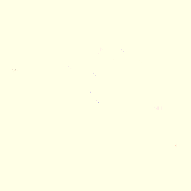 COc1c(C)cnc(CN2N=C3CC(NCCO)C4=C3C(=N2)C(N)=NSC4)c1C